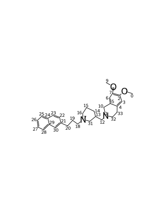 COc1cc2c(cc1OC)CN(CC1CCCN(CCCc3ccc4ccccc4c3)C1)CC2